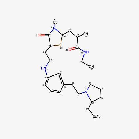 CCN1C(=O)C(CCNc2cccc(CCN3CCCC3CSC)c2)SC1CC(C#N)C(=O)NCC#N